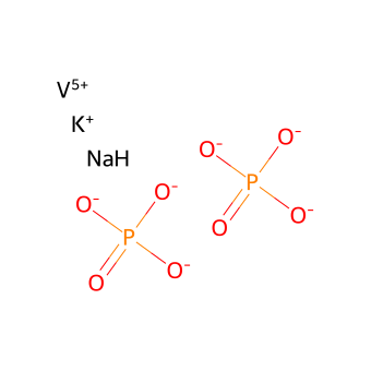 O=P([O-])([O-])[O-].O=P([O-])([O-])[O-].[K+].[NaH].[V+5]